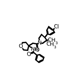 CC1(C)CN(C(=O)CC2(NC(=O)c3ccccc3)CCOCC2)CCC1c1ccc(Cl)cc1